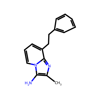 Cc1nc2c(CCc3ccccc3)cccn2c1N